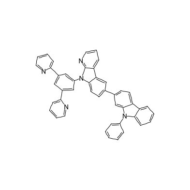 c1ccc(-n2c3ccccc3c3ccc(-c4ccc5c(c4)c4cccnc4n5-c4cc(-c5ccccn5)cc(-c5ccccn5)c4)cc32)cc1